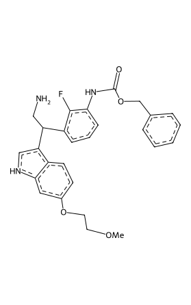 COCCOc1ccc2c(C(CN)c3cccc(NC(=O)OCc4ccccc4)c3F)c[nH]c2c1